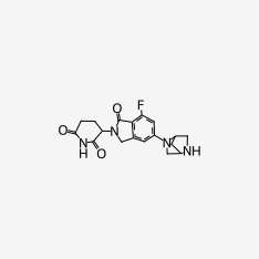 O=C1CCC(N2Cc3cc(N4CC5CC4CN5)cc(F)c3C2=O)C(=O)N1